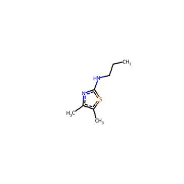 CCCNc1nc(C)c(C)s1